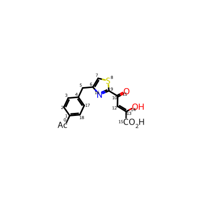 CC(=O)c1ccc(Cc2csc(C(=O)/C=C(\O)C(=O)O)n2)cc1